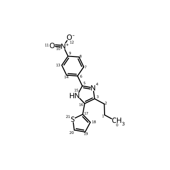 CCCc1nc(-c2ccc([N+](=O)[O-])cc2)[nH]c1-c1cccs1